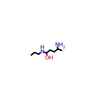 CCCNC(O)CCC(C)N